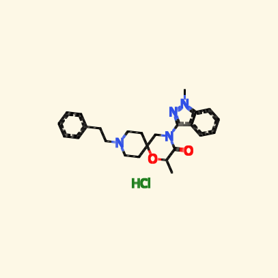 CC1OC2(CCN(CCc3ccccc3)CC2)CN(c2nn(C)c3ccccc23)C1=O.Cl